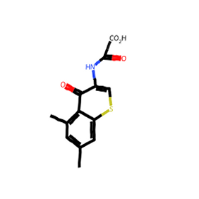 Cc1cc(C)c2c(=O)c(NC(=O)C(=O)O)csc2c1